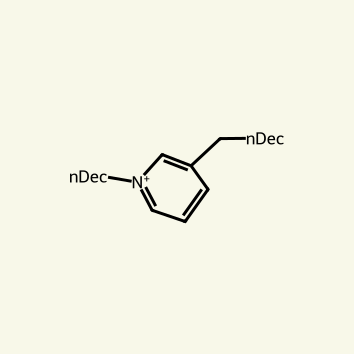 CCCCCCCCCCCc1ccc[n+](CCCCCCCCCC)c1